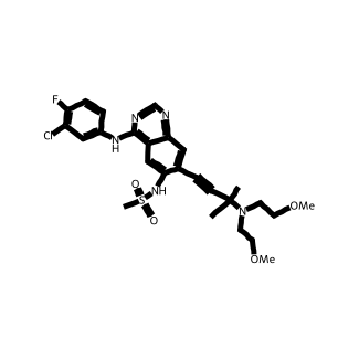 COCCN(CCOC)C(C)(C)C#Cc1cc2ncnc(Nc3ccc(F)c(Cl)c3)c2cc1NS(C)(=O)=O